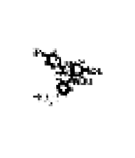 CCCC[C@H](c1ccc(C(=O)O)cc1)N1C(=O)C(N2CCC(C(C)C)CC2)=NC12CCC(C(C)(C)C)CC2